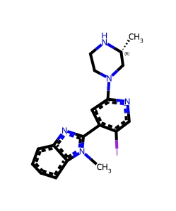 C[C@@H]1CN(c2cc(-c3nc4ccccc4n3C)c(I)cn2)CCN1